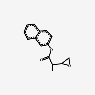 CC(C(=O)Oc1ccc2ccccc2c1)C1CO1